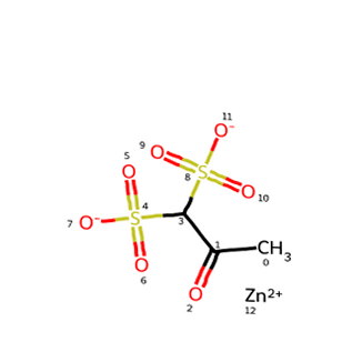 CC(=O)C(S(=O)(=O)[O-])S(=O)(=O)[O-].[Zn+2]